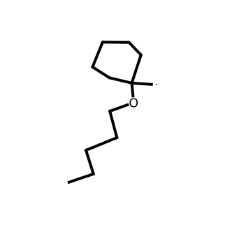 [CH2]C1(OCCCCC)CCCCC1